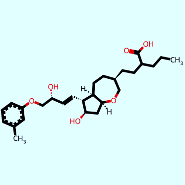 CCCC(CC[C@@H]1CC[C@@H]2[C@@H](/C=C/[C@@H](O)COc3cccc(C)c3)[C@H](O)C[C@@H]2OC1)C(=O)O